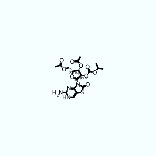 CC(=O)OC[C@H]1O[C@@H](n2c(=O)sc3c2=NC(N)NC=3)[C@H](OC(=O)OC(C)C)[C@H]1OC(C)=O